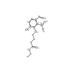 CCOC(=O)CCCOc1c(Cl)ccc(C=O)c1[N+](=O)[O-]